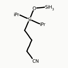 CC(C)[Si](CCCC#N)(O[SiH3])C(C)C